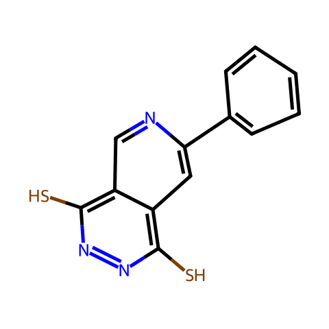 Sc1nnc(S)c2cc(-c3ccccc3)ncc12